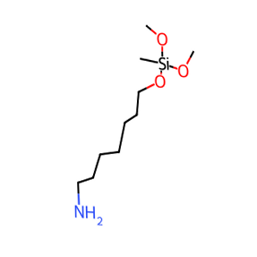 CO[Si](C)(OC)OCCCCCCCN